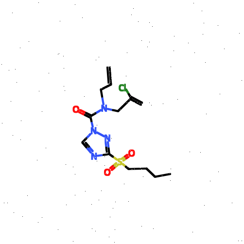 C=CCN(CC(=C)Cl)C(=O)n1cnc(S(=O)(=O)CCCC)n1